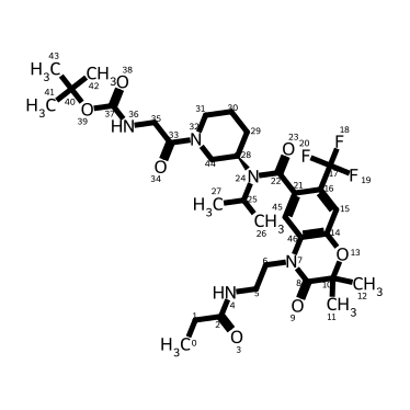 CCC(=O)NCCN1C(=O)C(C)(C)Oc2cc(C(F)(F)F)c(C(=O)N(C(C)C)[C@@H]3CCCN(C(=O)CNC(=O)OC(C)(C)C)C3)cc21